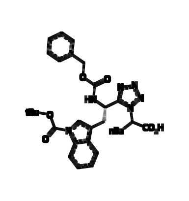 CCCCC(C(=O)O)n1nnnc1[C@H](Cc1cn(C(=O)OC(C)(C)C)c2ccccc12)NC(=O)OCc1ccccc1